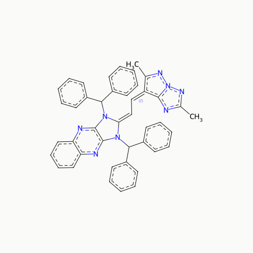 Cc1nc2/c(=C\C=C3N(C(c4ccccc4)c4ccccc4)c4nc5ccccc5nc4N3C(c3ccccc3)c3ccccc3)c(C)nn2n1